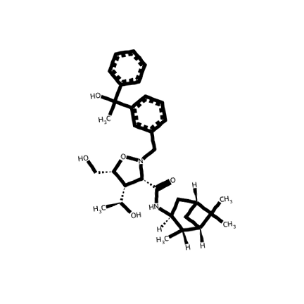 C[C@@H]1[C@@H](NC(=O)[C@@H]2[C@H]([C@H](C)O)[C@H](CO)ON2Cc2cccc(C(C)(O)c3ccccc3)c2)C[C@H]2C[C@@H]1C2(C)C